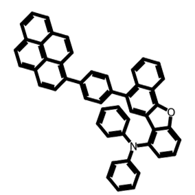 c1ccc(N(c2ccccc2)c2cccc3oc4c5ccccc5c(-c5ccc(-c6ccc7ccc8cccc9ccc6c7c89)cc5)cc4c23)cc1